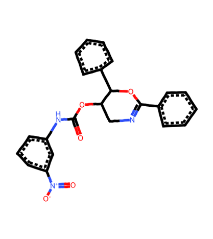 O=C(Nc1cccc([N+](=O)[O-])c1)OC1CN=C(c2ccccc2)OC1c1ccccc1